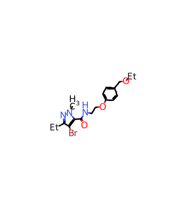 CCOCc1ccc(OCCNC(=O)c2c(Br)c(CC)nn2C)cc1